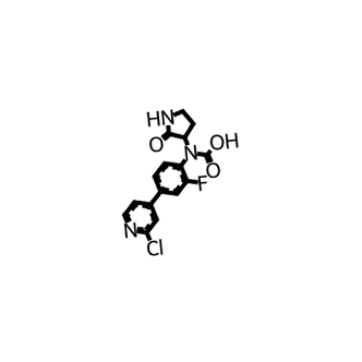 O=C1NCCC1N(C(=O)O)c1ccc(-c2ccnc(Cl)c2)cc1F